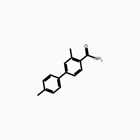 Cc1ccc(-c2ccc(C(N)=O)c(C)c2)cc1